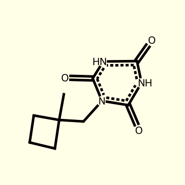 CC1(Cn2c(=O)[nH]c(=O)[nH]c2=O)CCC1